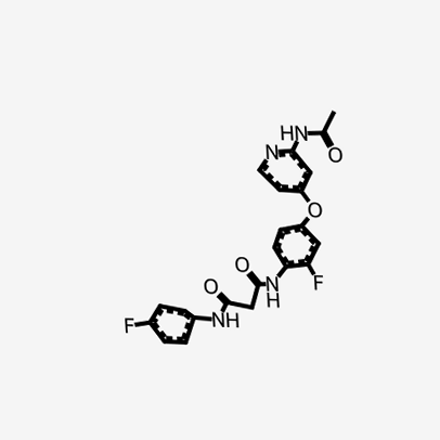 CC(=O)Nc1cc(Oc2ccc(NC(=O)CC(=O)Nc3ccc(F)cc3)c(F)c2)ccn1